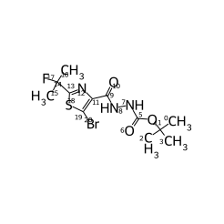 CC(C)(C)OC(=O)NNC(=O)c1nc(C(C)(C)F)sc1Br